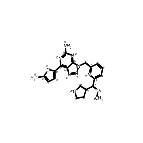 COC(c1cccc(Cn2nnc3c(-c4ccc(C)o4)nc(N)nc32)n1)C1CCOC1